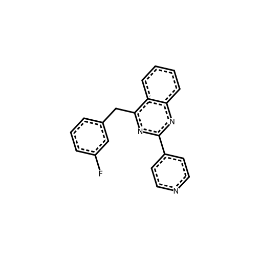 Fc1cccc(Cc2nc(-c3ccncc3)nc3ccccc23)c1